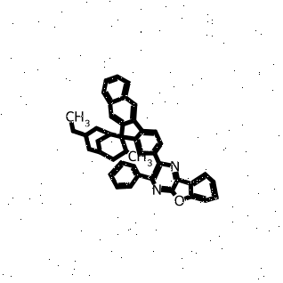 CCC1CC2CC(C)C3(c4cc(-c5nc6c(nc5-c5ccccc5)oc5ccccc56)ccc4-c4cc5ccccc5cc43)C(C1)C2